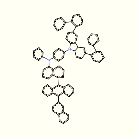 C1=CC2C(C=C1c1ccccc1-c1ccccc1)c1cc(-c3ccccc3-c3ccccc3)ccc1N2c1ccc(N(c2ccccc2)c2cccc3c(-c4c5ccccc5c(-c5ccc6ccccc6c5)c5ccccc45)cccc23)cc1